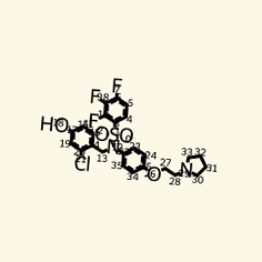 O=S(=O)(c1ccc(F)c(F)c1F)N(Cc1ccc(O)cc1Cl)c1ccc(OCCN2CCCC2)cc1